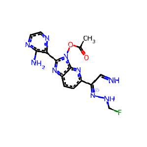 CC(=O)On1c(-c2nccnc2N)nc2ccc(/C(C=N)=N/NCF)nc21